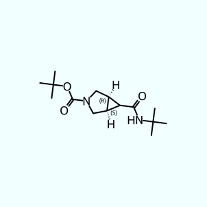 CC(C)(C)NC(=O)C1[C@H]2CN(C(=O)OC(C)(C)C)C[C@@H]12